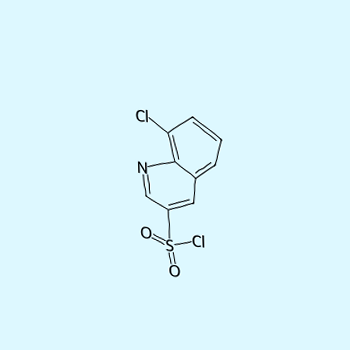 O=S(=O)(Cl)c1cnc2c(Cl)cccc2c1